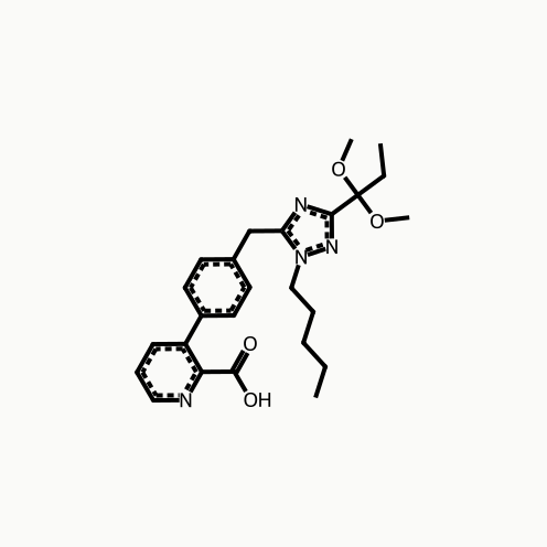 CCCCCn1nc(C(CC)(OC)OC)nc1Cc1ccc(-c2cccnc2C(=O)O)cc1